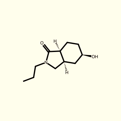 CCCN1C[C@@H]2C[C@H](O)CC[C@@H]2C1=O